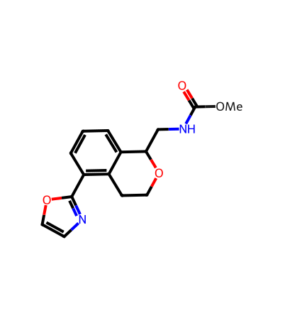 COC(=O)NCC1OCCc2c(-c3ncco3)cccc21